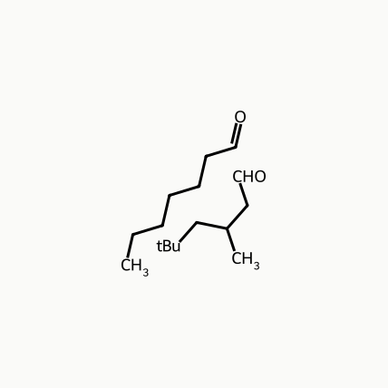 CC(CC=O)CC(C)(C)C.CCCCCCC=O